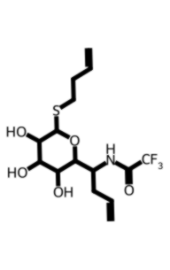 C=CCCSC1OC(C(CC=C)NC(=O)C(F)(F)F)C(O)C(O)C1O